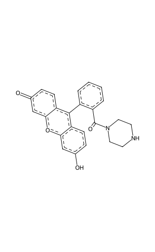 O=C(c1ccccc1-c1c2ccc(=O)cc-2oc2cc(O)ccc12)N1CCNCC1